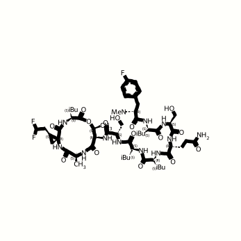 CC[C@H](C)[C@H](NC(=O)[C@@H](Cc1ccc(F)cc1)NC)C(=O)N[C@@H](CO)C(=O)N[C@H](CCC(N)=O)C(=O)N[C@@H](C(=O)N[C@H](C(=O)N[C@@H](CO)C(=O)N[C@H]1C(=O)N[C@@H](C)C(=O)N[C@@]2(C[C@H]2CC(F)F)C(=O)N[C@@H]([C@@H](C)CC)C(=O)O[C@H]1C)[C@@H](C)CC)[C@@H](C)CC